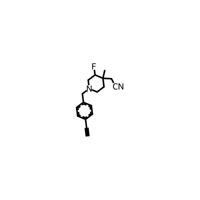 C#Cc1ccc(CN2CCC(C)(CC#N)C(F)C2)cc1